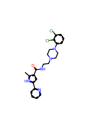 Cc1[nH]c(-c2ccccn2)cc1C(=O)NCCN1CCN(c2cccc(Cl)c2Cl)CC1